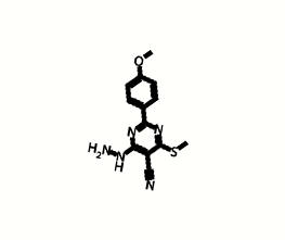 COc1ccc(-c2nc(NN)c(C#N)c(SC)n2)cc1